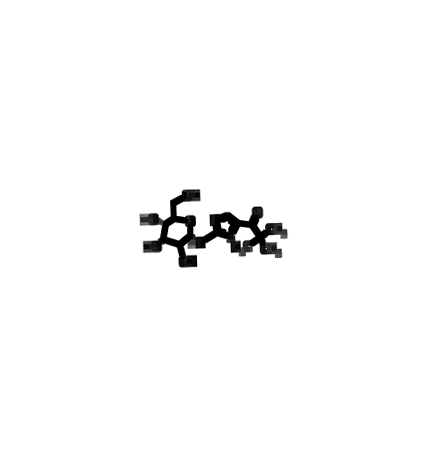 CC(C)(C)C(=O)c1cnc(N[C@H]2OC(CO)[C@@H](O)[C@H](O)C2O)s1